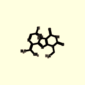 C=C(Cl)/C=N\C(=C(C)C)c1nc2c([nH]1)c(=O)[nH]c(=O)n2CC